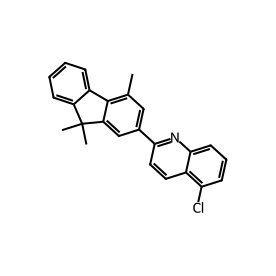 Cc1cc(-c2ccc3c(Cl)cccc3n2)cc2c1-c1ccccc1C2(C)C